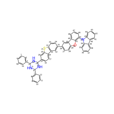 c1ccc(C2NC(c3ccccc3)NC(c3ccc4c(c3)sc3ccc(-c5ccc6oc7c(-n8c9ccccc9c9ccccc98)cccc7c6c5)cc34)N2)cc1